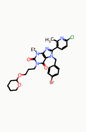 CCn1c(=O)n(CCCOC2CCCCO2)c(=O)c2c1nc(-c1ccc(Cl)nc1C)n2Cc1ccc(Br)cc1